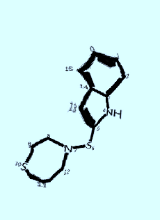 c1ccc2[nH]c(SN3CCSCC3)cc2c1